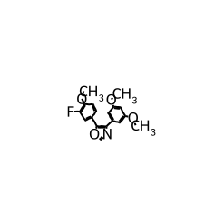 COc1cc(OC)cc(-c2ncoc2-c2ccc(OC)c(F)c2)c1